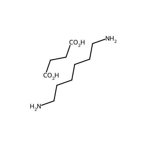 NCCCCCCN.O=C(O)CCC(=O)O